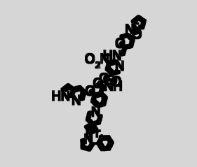 CC(C)c1ccccc1[C@H]1CCCN1C1CC2(CCN(c3ccc(C(=O)NS(=O)(=O)c4cnc(NCC5CCC(N=S6(=O)CCCC6)CO5)c([N+](=O)[O-])c4)c(Oc4cnc5[nH]ccc5c4)c3)CC2)C1